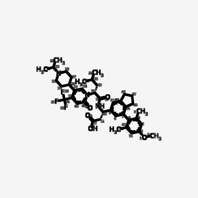 COc1cc(C)c(-c2cc([C@H](CC(=O)O)NC(=O)[C@@H](CC(C)C)n3cc(C4CCN(C(C)C)CC4)c(C(F)(F)F)cc3=O)cc3c2CCC3)c(C)c1